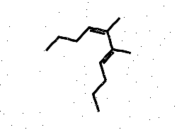 CCCC=C(C)C(C)=CCCC